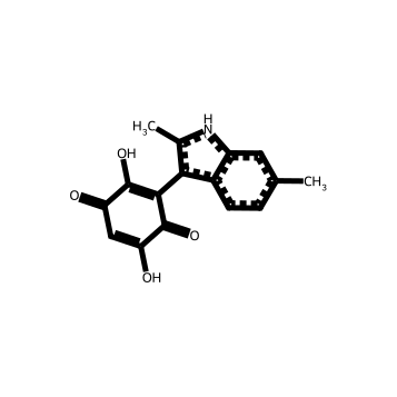 Cc1ccc2c(C3=C(O)C(=O)C=C(O)C3=O)c(C)[nH]c2c1